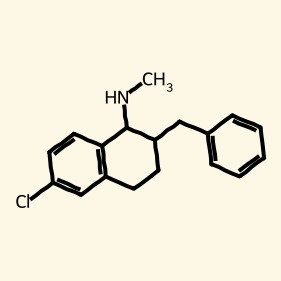 CNC1c2ccc(Cl)cc2CCC1Cc1ccccc1